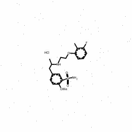 COc1ccc(CC(C)NCCOc2cccc(F)c2C)cc1S(N)(=O)=O.Cl